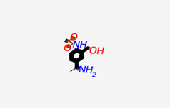 C[C@@H](N)c1ccc(NS(C)(=O)=O)c(CO)c1